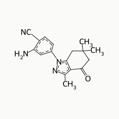 Cc1nn(-c2ccc(C#N)c(N)c2)c2c1C(=O)CC(C)(C)C2